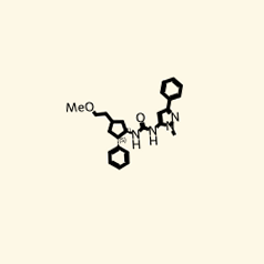 COCCC1C[C@@H](NC(=O)Nc2cc(-c3ccccc3)nn2C)[C@H](c2ccccc2)C1